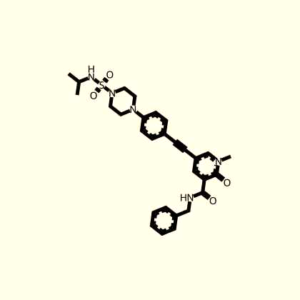 CC(C)NS(=O)(=O)N1CCN(c2ccc(C#Cc3cc(C(=O)NCc4ccccc4)c(=O)n(C)c3)cc2)CC1